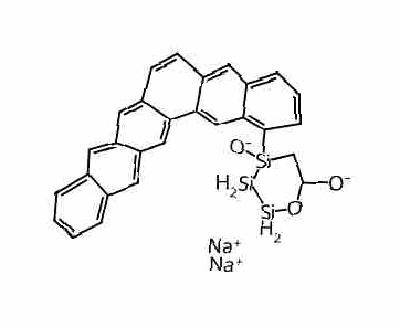 [Na+].[Na+].[O-]C1C[Si]([O-])(c2cccc3cc4ccc5cc6cc7ccccc7cc6cc5c4cc23)[SiH2][SiH2]O1